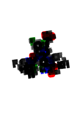 CC(C)(C#Cc1ccc(-c2ccc(Cl)c3c(NS(C)(=O)=O)nn(CC(F)(F)F)c23)c([C@H](Cc2cc(F)cc(F)c2)NC(=O)Cn2nc(C(F)(F)F)c3c2C(F)(F)[C@@H]2C[C@H]32)n1)S(C)(=O)=O.[KH]